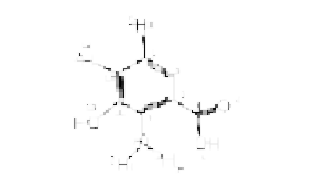 [2H]c1cc(C(=O)O)c(N([2H])[2H])c(O)c1[2H]